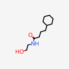 O=C(CCCC1CCCCC1)NCCO